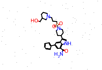 NC(=O)c1cc(-c2ccccc2)cc2c(C3CCN(S(=O)(=O)CCCN4CCCC(CO)C4)CC3)c[nH]c12